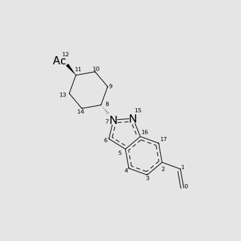 C=Cc1ccc2cn([C@H]3CC[C@H](C(C)=O)CC3)nc2c1